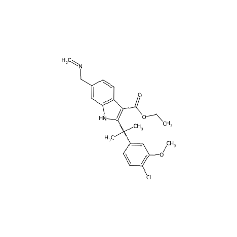 C=NCc1ccc2c(C(=O)OCC)c(C(C)(C)c3ccc(Cl)c(OC)c3)[nH]c2c1